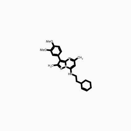 COc1ccc(-c2c(C)nn3c(NCCC4C=CCCC4)cc(C)nc23)cc1OC